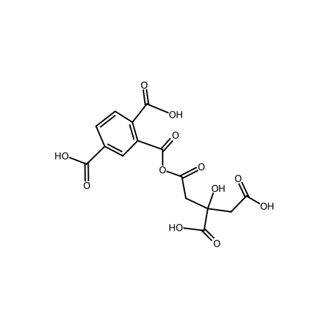 O=C(O)CC(O)(CC(=O)OC(=O)c1cc(C(=O)O)ccc1C(=O)O)C(=O)O